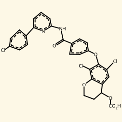 O=C(O)OC1CCOc2c1cc(Cl)c(Oc1ccc(C(=O)Nc3cccc(-c4ccc(Cl)cc4)n3)cc1)c2Cl